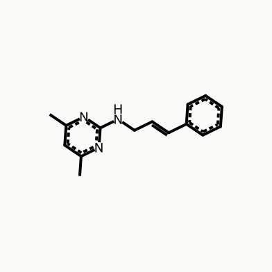 Cc1cc(C)nc(NCC=Cc2ccccc2)n1